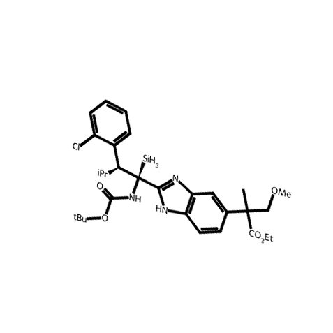 CCOC(=O)C(C)(COC)c1ccc2[nH]c([C@]([SiH3])(NC(=O)OC(C)(C)C)[C@H](c3ccccc3Cl)C(C)C)nc2c1